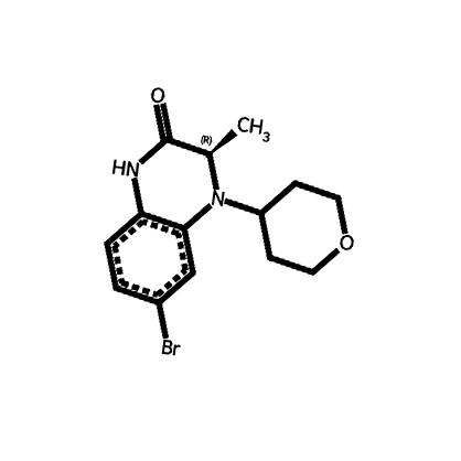 C[C@@H]1C(=O)Nc2ccc(Br)cc2N1C1CCOCC1